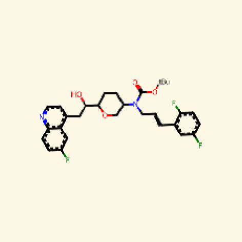 CC(C)(C)OC(=O)N(C/C=C/c1cc(F)ccc1F)C1CCC(C(O)Cc2ccnc3ccc(F)cc23)OC1